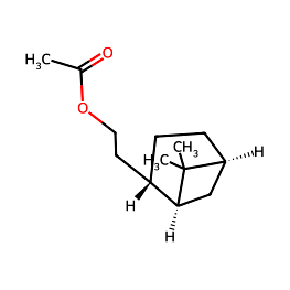 CC(=O)OCC[C@@H]1CC[C@H]2C[C@@H]1C2(C)C